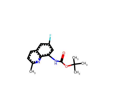 Cc1ccc2cc(F)cc(NC(=O)OC(C)(C)C)c2n1